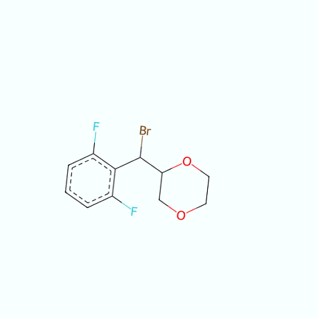 Fc1cccc(F)c1C(Br)C1COCCO1